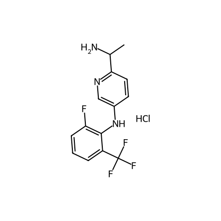 CC(N)c1ccc(Nc2c(F)cccc2C(F)(F)F)cn1.Cl